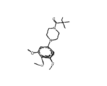 COc1cc(N2CCN(C(=O)C(C)(C)C)CC2)cc(OC)c1OC